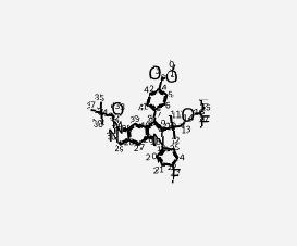 COC(=O)c1ccc(-c2c(C(C)(C)COC(F)F)n(-c3ccc(F)cc3)c3cc4cnn(C(=O)C(C)(C)C)c4cc23)cc1